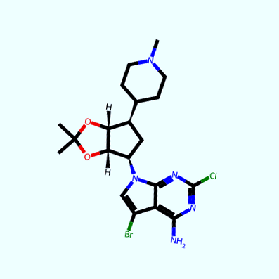 CN1CCC([C@H]2C[C@@H](n3cc(Br)c4c(N)nc(Cl)nc43)[C@@H]3OC(C)(C)O[C@@H]32)CC1